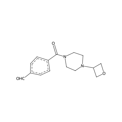 O=Cc1ccc(C(=O)N2CCN(C3COC3)CC2)cc1